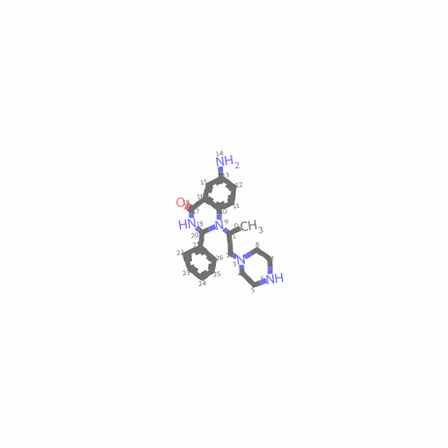 CC(CN1CCNCC1)N1c2ccc(N)cc2C(=O)NC1c1ccccc1